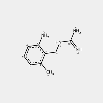 Cc1cccc(N)c1CNC(=N)N